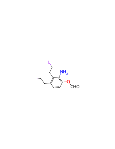 Nc1c(O[C]=O)ccc(CCI)c1CCI